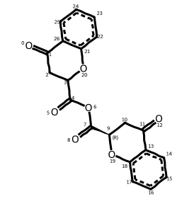 O=C1CC(C(=O)OC(=O)[C@H]2CC(=O)c3ccccc3O2)Oc2ccccc21